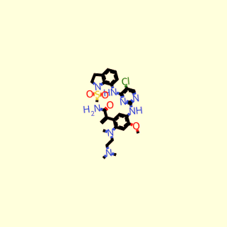 C=C(C(N)=O)c1cc(Nc2ncc(Cl)c(Nc3cccc4c3N(S(C)(=O)=O)CC4)n2)c(OC)cc1N(C)CCN(C)C